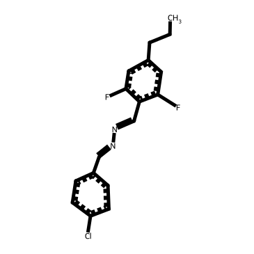 CCCc1cc(F)c(C=NN=Cc2ccc(Cl)cc2)c(F)c1